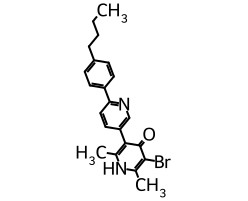 CCCCc1ccc(-c2ccc(-c3c(C)[nH]c(C)c(Br)c3=O)cn2)cc1